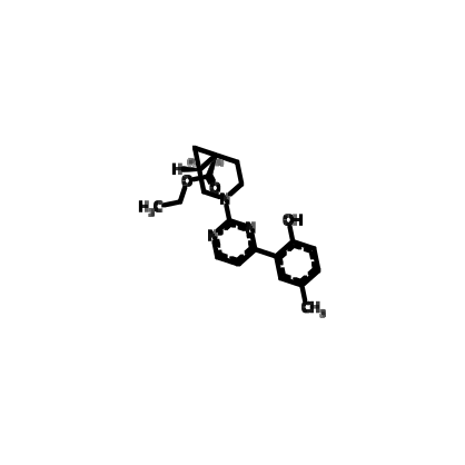 CCOC(=O)[C@@]12CCN(c3nccc(-c4cc(C)ccc4O)n3)C[C@@H]1C2